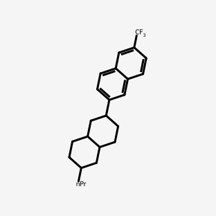 CCCC1CCC2CC(c3ccc4cc(C(F)(F)F)ccc4c3)CCC2C1